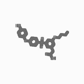 CCCCOc1cc(CC(=O)O)cc(S(=O)(=O)c2ccc(Oc3ccc(O)cc3)cc2)c1